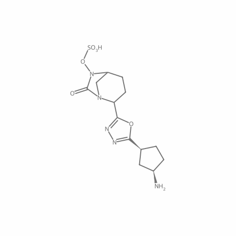 N[C@@H]1CC[C@H](c2nnc(C3CCC4CN3C(=O)N4OS(=O)(=O)O)o2)C1